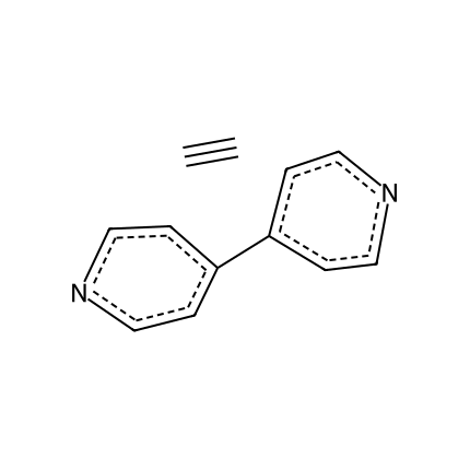 C#C.c1cc(-c2ccncc2)ccn1